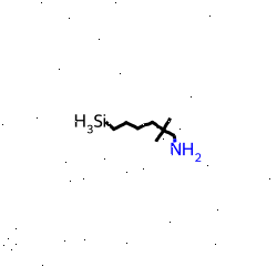 CC(C)(CN)CCCC[SiH3]